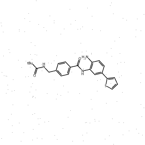 CC(C)(C)C(=O)NCc1ccc(C(=O)Nc2cc(-c3cccs3)ccc2N)cc1